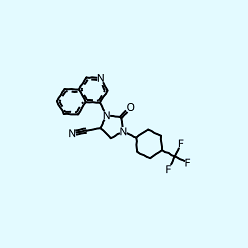 N#CC1CN(C2CCC(C(F)(F)F)CC2)C(=O)N1c1cncc2ccccc12